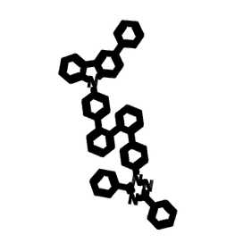 c1ccc(-c2ccc3c(c2)c2ccccc2n3-c2ccc(-c3ccccc3-c3ccccc3-c3ccc(-n4nc(-c5ccccc5)nc4-c4ccccc4)cc3)cc2)cc1